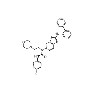 O=C(Nc1ccc(Cl)cc1)N(CCN1CCOCC1)c1ccc2nc(Nc3ccccc3-c3ccccc3)sc2c1